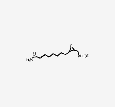 CCCCCCCCC1OC1CCCCCCCNN